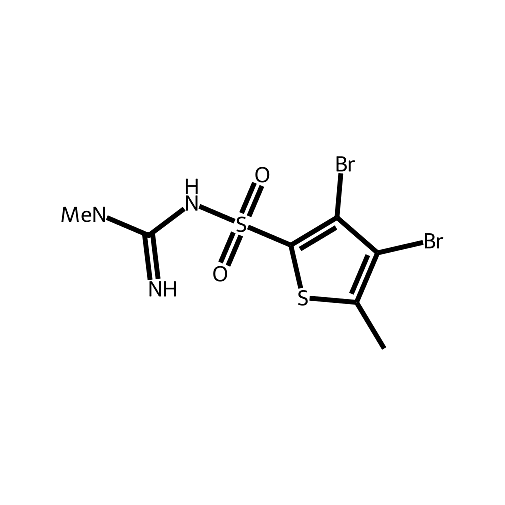 CNC(=N)NS(=O)(=O)c1sc(C)c(Br)c1Br